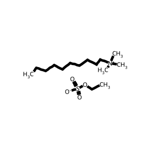 CCCCCCCCCC[N+](C)(C)C.CCOS(=O)(=O)[O-]